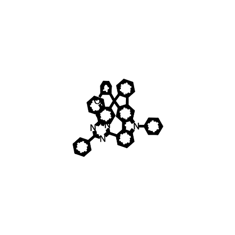 c1ccc(-c2nc(-c3ccccc3)nc(-c3cccc4c3c3cc5c(cc3n4-c3ccccc3)-c3ccccc3C53c4ccccc4Oc4ccccc43)n2)cc1